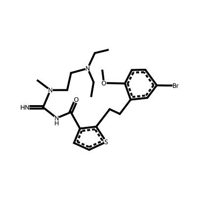 CCN(CC)CCN(C)C(=N)NC(=O)c1ccsc1CCc1cc(Br)ccc1OC